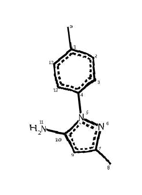 Cc1ccc(-n2nc(C)cc2N)cc1